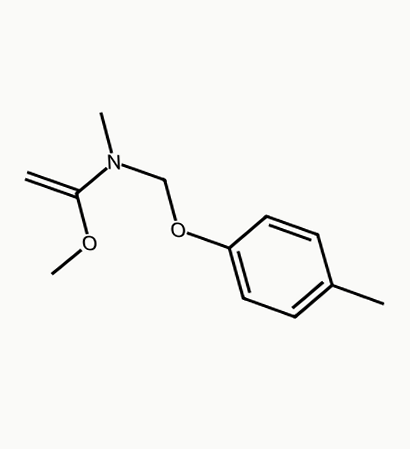 C=C(OC)N(C)COc1ccc(C)cc1